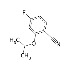 CC(C)Oc1cc(F)ccc1C#N